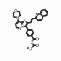 O=C(OC(=O)C(F)(F)F)c1ccc(-c2c(/C=C/c3ccc4ccccc4n3)nc3c(N4CCOCC4)ccnn23)cc1